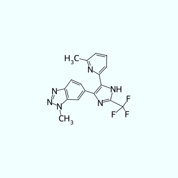 Cc1cccc(-c2[nH]c(C(F)(F)F)nc2-c2ccc3nnn(C)c3c2)n1